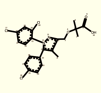 Cc1c(COC(C)(C)C(=O)O)nn(-c2ccc(Cl)cc2Cl)c1-c1ccc(Cl)cc1